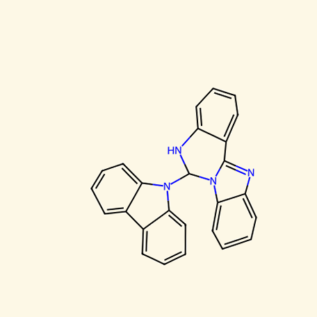 c1ccc2c(c1)NC(n1c3ccccc3c3ccccc31)n1c-2nc2ccccc21